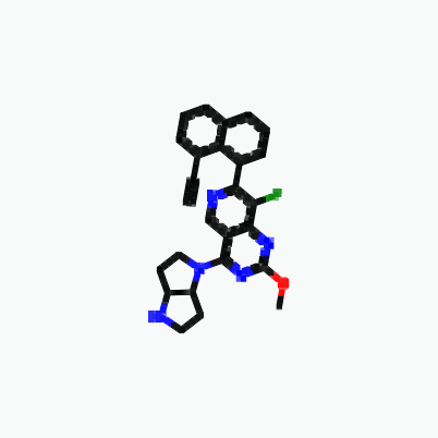 C#Cc1cccc2cccc(-c3ncc4c(N5CCC6NCCC65)nc(OC)nc4c3F)c12